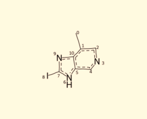 Cc1cncc2[nH]c(I)nc12